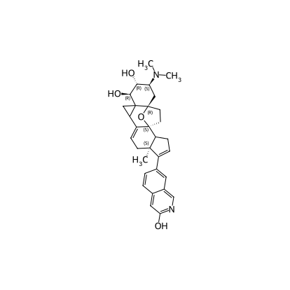 CN(C)[C@H]1C[C@@]23CC[C@@]4(O2)C(=CC[C@]2(C)C(c5ccc6cc(O)ncc6c5)=CCC24)C2CC23[C@@H](O)[C@@H]1O